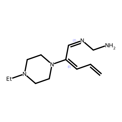 C=C/C=C(\C=N/CN)N1CCN(CC)CC1